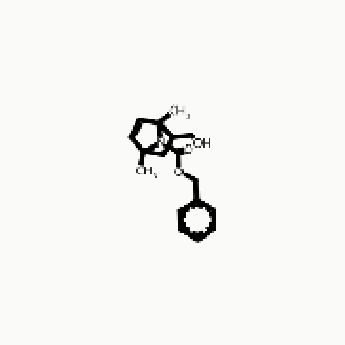 CC12C=CC(C)(C(CO)C1)N2C(=O)OCc1ccccc1